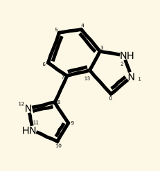 [c]1n[nH]c2cccc(-c3cc[nH]n3)c12